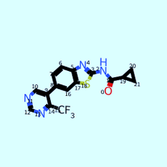 O=C(Nc1nc2ccc(-c3cncnc3C(F)(F)F)cc2s1)C1CC1